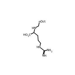 CCCCCCCCCNC(CCCNC(=N)N)C(=O)O